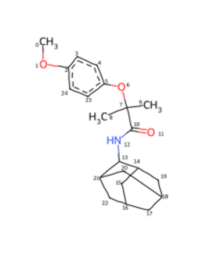 COc1ccc(OC(C)(C)C(=O)NC2C3CC4CC(C3)CC2C4)cc1